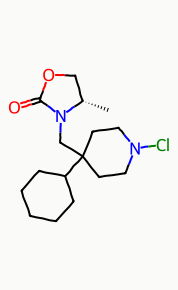 C[C@H]1COC(=O)N1CC1(C2CCCCC2)CCN(Cl)CC1